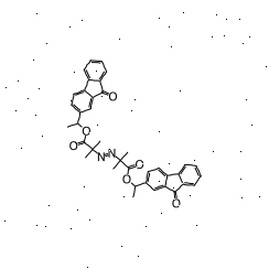 CC(OC(=O)C(C)(C)N=NC(C)(C)C(=O)OC(C)c1ccc2c(c1)C(=O)c1ccccc1-2)c1ccc2c(c1)C(=O)c1ccccc1-2